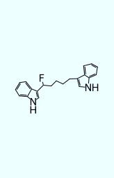 FC(CCCCc1c[nH]c2ccccc12)c1c[nH]c2ccccc12